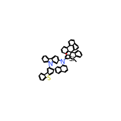 C[Si]1(C)c2ccccc2C2(c3ccccc3-c3cccc4cccc2c34)c2ccc(N(c3ccc4c5ccccc5n(-c5ccc6sc7ccccc7c6c5)c4c3)c3cccc4ccccc34)cc21